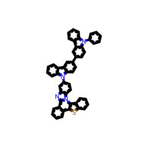 c1ccc(-n2c3ccccc3c3cc(-c4ccc5c(c4)c4ccccc4n5-c4ccc5c(c4)nc4c6ccccc6c6sc7ccccc7c6n54)ccc32)cc1